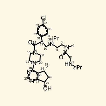 CC(C)NCC(=O)N(C)CCN(C[C@@H](C(=O)N1CCN(c2ncnc3c2[C@H](C)C[C@H]3O)CC1)c1ccc(Cl)cc1)C(C)C